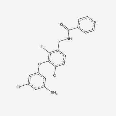 Nc1cc(Cl)cc(Oc2c(Cl)ccc(CNC(=O)c3ccncc3)c2F)c1